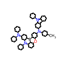 Cc1ccc(N(c2ccc3c(c2)Oc2cccc4c2B3c2ccc(N(c3ccccc3)c3ccccc3)cc2N4c2ccccc2)c2ccc3c(c2)c2ccccc2n3-c2ccccc2)cc1